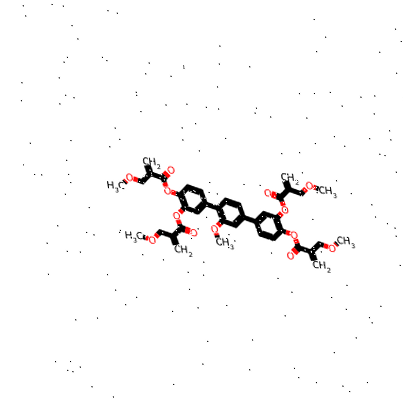 C=C(COC)C(=O)Oc1ccc(-c2ccc(-c3ccc(OC(=O)C(=C)COC)c(OC(=O)C(=C)COC)c3)c(OC)c2)cc1OC(=O)C(=C)COC